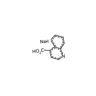 O=C(O)c1ccnc2ccccc12.[NaH]